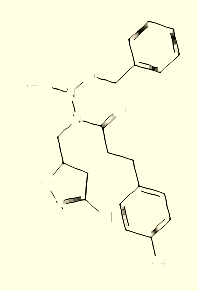 O=CN(OCc1ccccc1)N(CC1CC(Cl)=NO1)C(=O)CCc1ccc(O)cc1